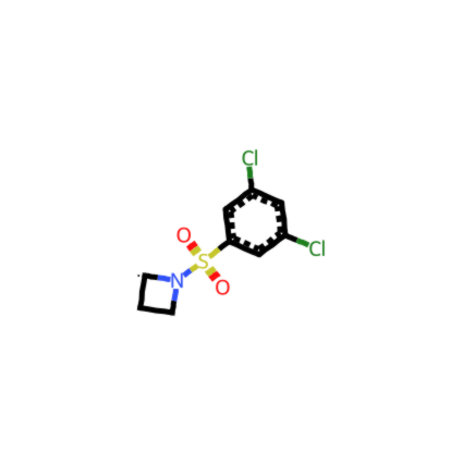 O=S(=O)(c1cc(Cl)cc(Cl)c1)N1[CH]CC1